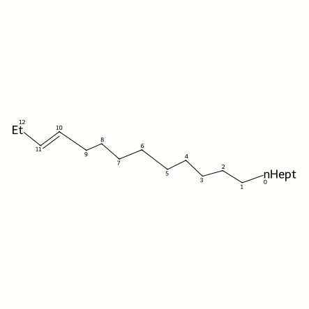 [CH2]CCCCCCCCCCCCCCCC=CCC